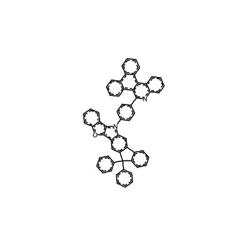 c1ccc(C2(c3ccccc3)c3ccccc3-c3cc4c(cc32)c2oc3ccccc3c2n4-c2ccc(-c3nc4ccccc4c4c5ccccc5c5ccccc5c34)cc2)cc1